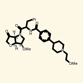 COCCN1CCC(c2ccc(C(=O)NC(CC(C)C)C(=O)N3C[C@@H](OC)[C@H]4OCC(=O)[C@H]43)cc2)CC1